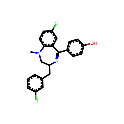 CN1CC(Cc2cccc(Cl)c2)N=C(c2ccc(O)cc2)c2cc(Cl)ccc21